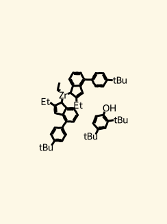 CC(C)(C)c1ccc(O)c(C(C)(C)C)c1.C[CH]=[Zr]([CH]1C(CC)=Cc2c(-c3ccc(C(C)(C)C)cc3)cccc21)[CH]1C(CC)=Cc2c(-c3ccc(C(C)(C)C)cc3)cccc21